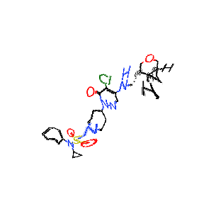 O=c1c(Cl)c(NC[C@@H]2COC[C@@H]3C[C@H]23)cnn1C1CCN(S(=O)(=O)N(c2ccccc2)C2CC2)CC1